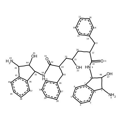 NC1c2ccccc2C(NC(=O)C(Cc2ccccc2)CC(O)CC(Cc2ccccc2)C(=O)NC2c3ccccc3C(N)C2O)C1O